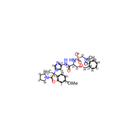 COc1ccc(C(C)(C(=O)N2CCCC2)n2cnc(NC(=O)C(COCc3ccccc3)NS(=O)(=O)CN(C)C)c2)cc1